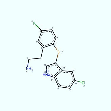 NCCc1cc(F)ccc1Sc1c[nH]c2ccc(Cl)cc12